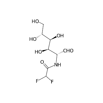 O=C[C@H](NC(=O)C(F)F)[C@@H](O)[C@H](O)[C@H](O)CO